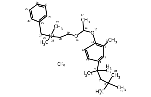 Cc1cc(C(C)(C)CC(C)(C)C)ccc1OC(C)OCC[N+](C)(C)Cc1ccccc1.[Cl-]